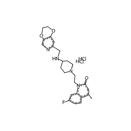 Cc1cc(=O)n(CCN2CCC(NCc3cc4c(cn3)OCCO4)CC2)c2cc(F)ccc12.Cl.Cl